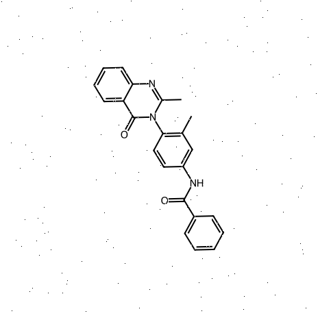 Cc1cc(NC(=O)c2ccccc2)ccc1-n1c(C)nc2ccccc2c1=O